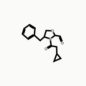 O=CC1OCC(Cc2ccccc2)N1C(=O)CC1CC1